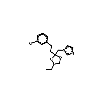 CCC1COC(CCc2cccc(Cl)c2)(Cn2ccnc2)O1